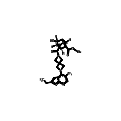 CC(C)(C)OC(=O)N1[C@H]2CC[C@H]([C@H](O)C2)[C@@H]1C(=O)N1CC2(C1)CN(c1c(C(F)(F)F)cnc3sc(CC(F)(F)F)cc13)C2